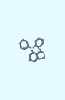 c1ccc(P(c2ccccc2)c2ccccc2C2=NCCO2)cc1